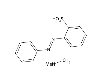 CNC.O=S(=O)(O)c1ccccc1N=Nc1ccccc1